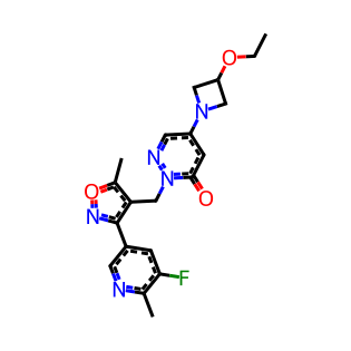 CCOC1CN(c2cnn(Cc3c(-c4cnc(C)c(F)c4)noc3C)c(=O)c2)C1